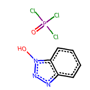 O=P(Cl)(Cl)Cl.On1nnc2ccccc21